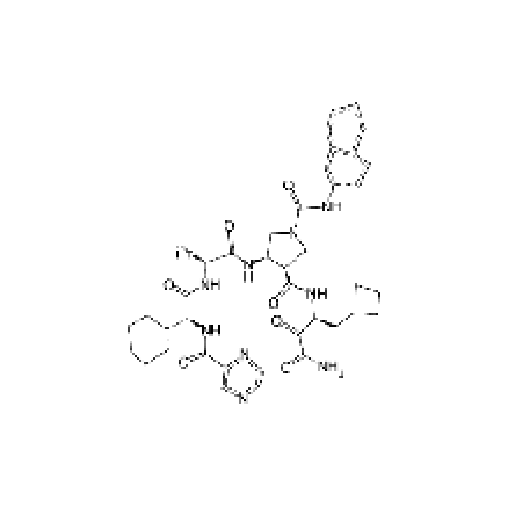 CC(C)[C@H](NC(=O)[C@@H](NC(=O)c1cnccn1)C1CCCCC1)C(=O)N[C@H]1CN(C(=O)Nc2ccc3ccccc3c2)C[C@H]1C(=O)N[C@@H](CC1CCC1)C(=O)C(N)=O